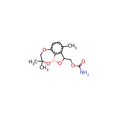 Cc1ccc2c3c1C(COC(N)=O)OB3OC(C)(C)CO2